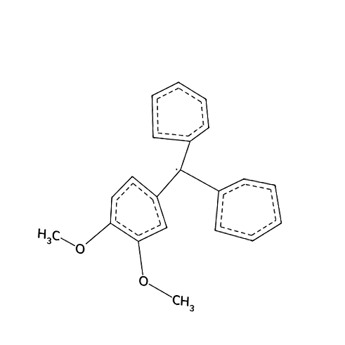 COc1ccc([C](c2ccccc2)c2ccccc2)cc1OC